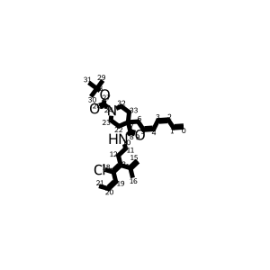 C=C/C=C\C=C/CC1(C(=O)NCC/C(C(=C)C)=C(Cl)/C=C\C)CCN(C(=O)OC(C)(C)C)CC1